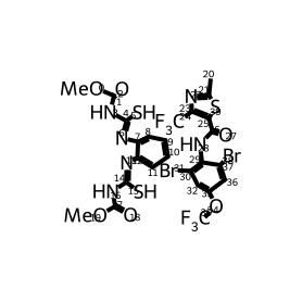 COC(=O)NC(S)=Nc1ccccc1N=C(S)NC(=O)OC.Cc1nc(C(F)(F)F)c(C(=O)Nc2c(Br)cc(OC(F)(F)F)cc2Br)s1